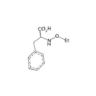 CCONC(Cc1ccccc1)C(=O)O